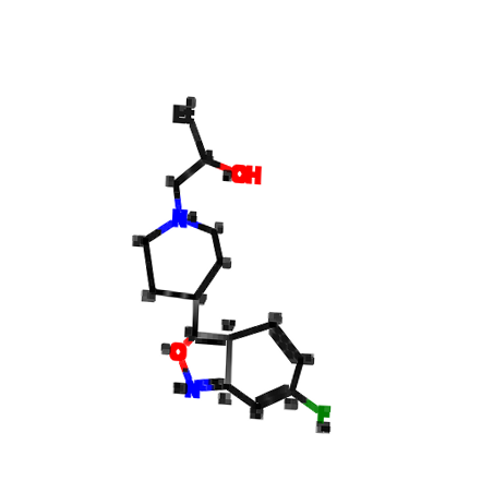 CCC(O)CN1CCC(c2onc3cc(F)ccc23)CC1